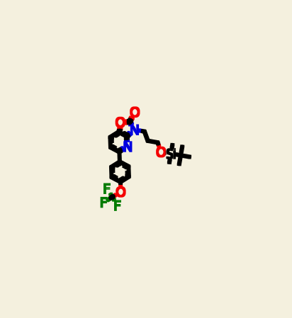 CC(C)(C)[Si](C)(C)OCCCn1c(=O)oc2ccc(-c3ccc(OC(F)(F)F)cc3)nc21